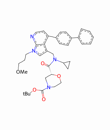 COCCCn1cc(CN(C(=O)[C@H]2CN(C(=O)OC(C)(C)C)CCO2)C2CC2)c2c(-c3ccc(-c4ccccc4)cc3)ccnc21